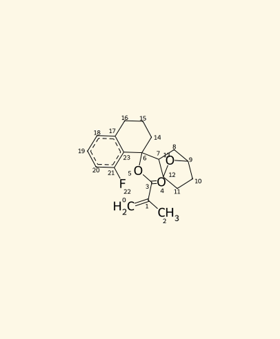 C=C(C)C(=O)OC1(C2CC3CCC2O3)CCCc2cccc(F)c21